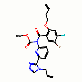 C=CCCOc1cc(F)c(Br)cc1C(=O)N(C(=O)OC(C)(C)C)c1cccc(-c2nncn2CC=C)n1